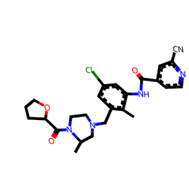 Cc1c(CN2CCN(C(=O)C3CCCO3)C(C)C2)cc(Cl)cc1NC(=O)c1ccnc(C#N)c1